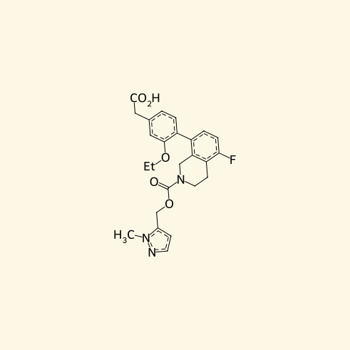 CCOc1cc(CC(=O)O)ccc1-c1ccc(F)c2c1CN(C(=O)OCc1ccnn1C)CC2